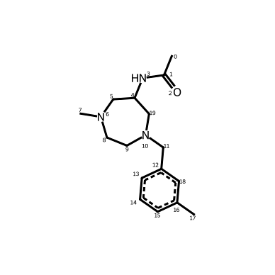 CC(=O)NC1CN(C)CCN(Cc2cccc(C)c2)C1